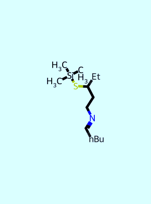 CCCCC=NCCC(CC)S[Si](C)(C)C